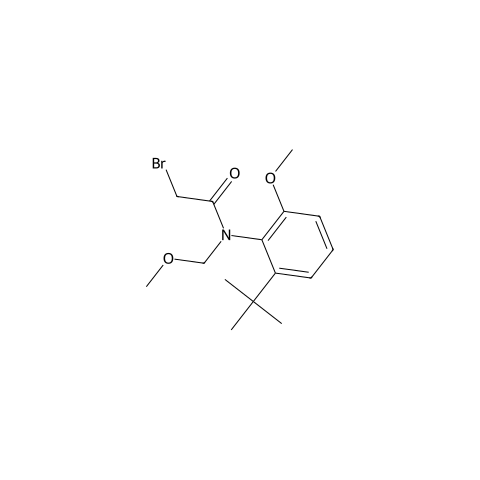 COCN(C(=O)CBr)c1c(OC)cccc1C(C)(C)C